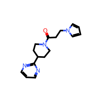 O=C(CCn1cccc1)N1CCC(c2ncccn2)CC1